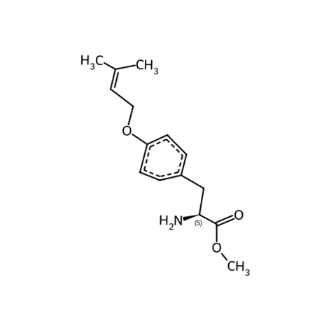 COC(=O)[C@@H](N)Cc1ccc(OCC=C(C)C)cc1